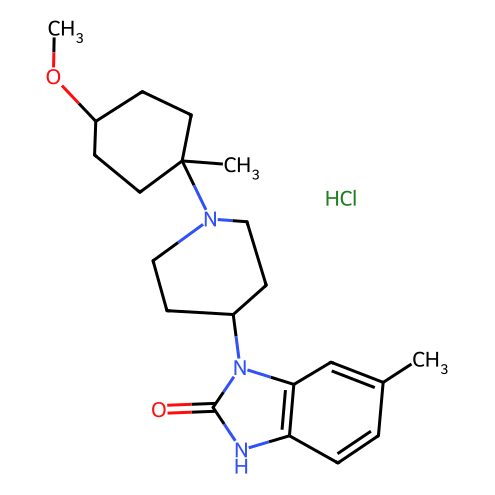 COC1CCC(C)(N2CCC(n3c(=O)[nH]c4ccc(C)cc43)CC2)CC1.Cl